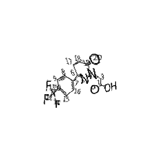 O=C(O)CN1N=C(c2ccc(C(F)(F)F)cc2)CCC1=O